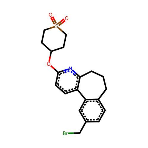 O=S1(=O)CCC(Oc2ccc3c(n2)CCCc2ccc(CBr)cc2-3)CC1